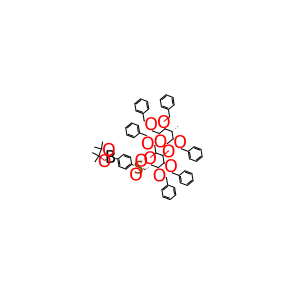 C[C@@H]1C(OCc2ccccc2)[C@H](O[C@@H]2C(COCc3ccccc3)O[C@@H](CS(=O)(=O)c3ccc(B4OC(C)(C)C(C)(C)O4)cc3)C(OCc3ccccc3)[C@@H]2OCc2ccccc2)OC(COCc2ccccc2)[C@H]1OCc1ccccc1